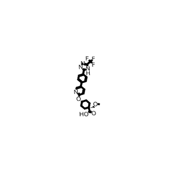 COC[C@]1(C(=O)O)CC[C@H](Oc2ccc(-c3ccc(-c4nnc(C(F)(F)F)[nH]4)cc3)cn2)CC1